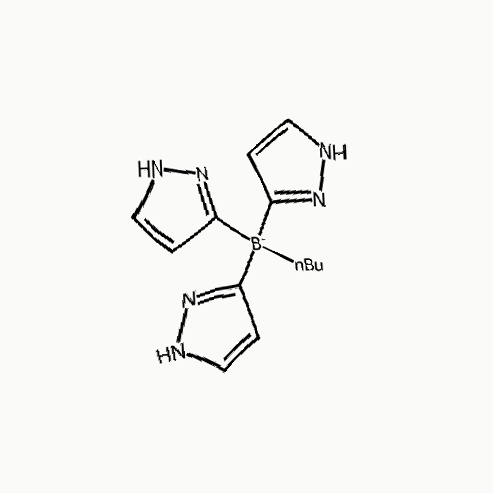 CCCC[B-](c1cc[nH]n1)(c1cc[nH]n1)c1cc[nH]n1